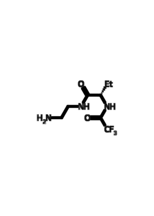 CC[C@H](NC(=O)C(F)(F)F)C(=O)NCCN